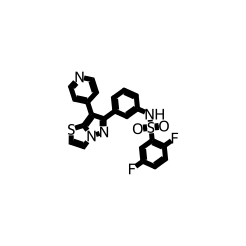 O=S(=O)(Nc1cccc(-c2nn3ccsc3c2-c2ccncc2)c1)c1cc(F)ccc1F